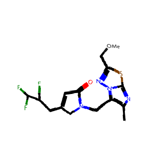 COCc1nn2c(CN3CC(CC(F)C(F)F)=CC3=O)c(C)nc2s1